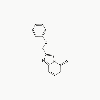 O=C1CC=Cc2nc(COc3ccccc3)cn21